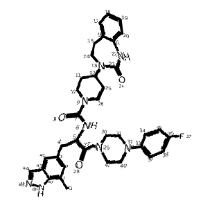 Cc1cc(CC(NC(=O)N2CCC(N3CCc4ccccc4NC3=O)CC2)C(=O)N2CCN(c3ccc(F)cc3)CC2)cc2cn[nH]c12